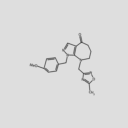 COc1ccc(Cn2ncc3c2N(Cc2noc(C)n2)CCCC3=O)cc1